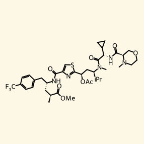 COC(=O)[C@@H](C)C[C@H](Cc1ccc(C(F)(F)F)cc1)NC(=O)c1csc([C@@H](C[C@H](C(C)C)N(C)C(=O)[C@@H](NC(=O)[C@H]2COCCN2C)C2CC2)OC(C)=O)n1